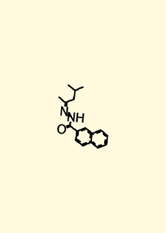 CC(CC(C)C)=NNC(=O)c1ccc2ccccc2c1